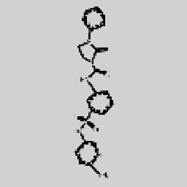 Nc1ccc(NS(=O)(=O)c2cccc(NC(=O)N3CCN(c4ccccc4)C3=O)c2)cn1